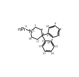 [CH2]C[CH]N1CCC(c2ccccc2)(c2ccccc2)CC1